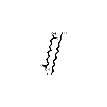 O=C(O)CCCCCCCCC(=O)O.OCCCCCCCCCCCCO